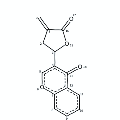 C=C1CC(c2coc3ccccc3c2=O)OC1=O